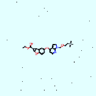 CCOC(O)C1C2Oc3ccc(Oc4ccnc5c4ccn5COCC[Si](C)(C)C)cc3C21